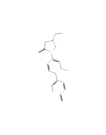 C=C/C=C\C(=C/C)C/C=C\C(=C/CC)N1CC(CC)CC1=C